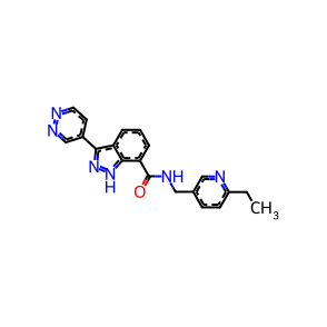 CCc1ccc(CNC(=O)c2cccc3c(-c4ccnnc4)n[nH]c23)cn1